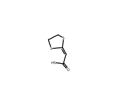 O=C(S)C=C1SCCS1